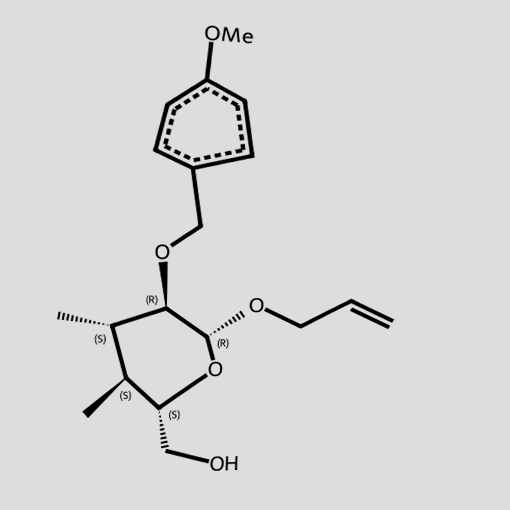 C=CCO[C@@H]1O[C@H](CO)[C@@H](C)[C@H](C)[C@H]1OCc1ccc(OC)cc1